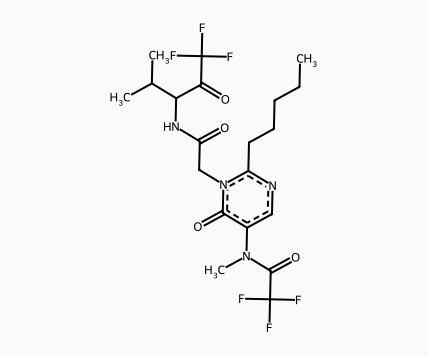 CCCCCc1ncc(N(C)C(=O)C(F)(F)F)c(=O)n1CC(=O)NC(C(=O)C(F)(F)F)C(C)C